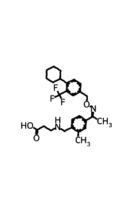 CC(=NOCc1ccc(C2CCCCC2)c(C(F)(F)F)c1)c1ccc(CNCCC(=O)O)c(C)c1